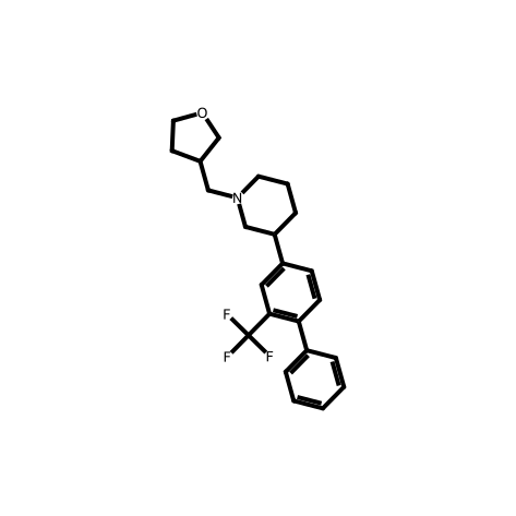 FC(F)(F)c1cc(C2CCCN(CC3CCOC3)C2)ccc1-c1ccccc1